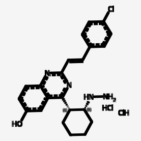 Cl.Cl.NN[C@@H]1CCCC[C@@H]1c1nc(C=Cc2ccc(Cl)cc2)nc2ccc(O)cc12